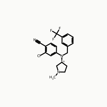 CN1CC[C@H](N(Cc2cccc(C(F)(F)F)c2)c2ccc(C#N)c(Cl)c2)C1